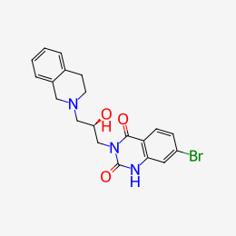 O=c1[nH]c2cc(Br)ccc2c(=O)n1C[C@H](O)CN1CCc2ccccc2C1